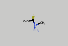 CSC(=S)N(C)N